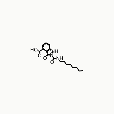 CCCCCCCCNC(=O)n1[nH]c2cccc(C(=O)O)c2c1=O